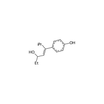 CCC(O)C=C(c1ccc(O)cc1)C(C)C